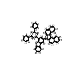 c1ccc(-c2nc(-c3ccccc3)nc(-c3cc(-n4c5ccc6ccccc6c5c5c6ccccc6ccc54)cc4c3sc3ccccc34)n2)cc1